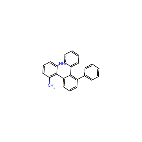 Nc1cccc(N)c1-c1cccc(-c2ccccc2)c1-c1ccccc1